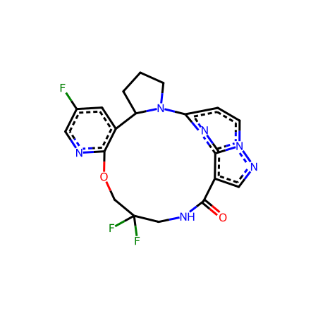 O=C1NCC(F)(F)COc2ncc(F)cc2C2CCCN2c2ccn3ncc1c3n2